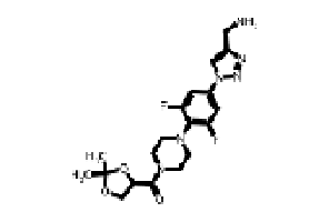 CC1(C)OCC(C(=O)N2CCN(c3c(F)cc(-n4cc(CN)nn4)cc3F)CC2)O1